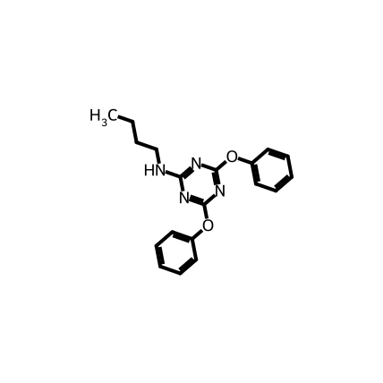 CCCCNc1nc(Oc2ccccc2)nc(Oc2ccccc2)n1